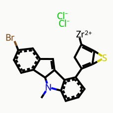 CN1c2cccc(C3=C4SC4=[C]([Zr+2])C3)c2C2=Cc3cc(Br)ccc3C21.[Cl-].[Cl-]